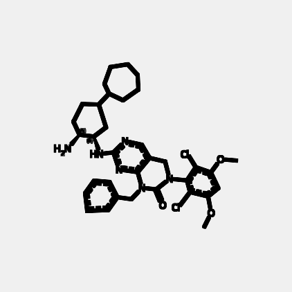 COc1cc(OC)c(Cl)c(N2Cc3cnc(N[C@@H]4CC(C5CCCCCC5)CC[C@@H]4N)nc3N(Cc3ccccc3)C2=O)c1Cl